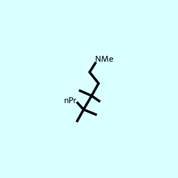 CCCC(C)(C)C(C)(C)CCNC